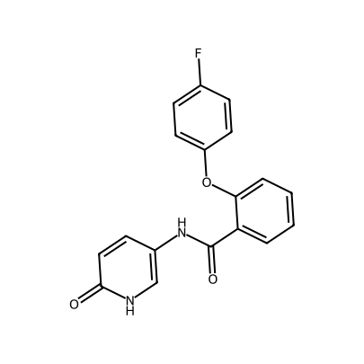 O=C(Nc1ccc(=O)[nH]c1)c1ccccc1Oc1ccc(F)cc1